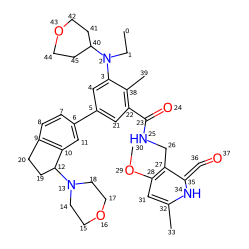 CCN(c1cc(-c2ccc3c(c2)C(N2CCOCC2)CC3)cc(C(=O)NCC2=C(OC)C=C(C)NC2=C=O)c1C)C1CCOCC1